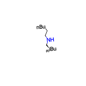 CCCCCCNC[C@H](C)CC